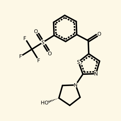 O=C(c1cccc(S(=O)(=O)C(F)(F)F)c1)c1cnc(N2CC[C@H](O)C2)s1